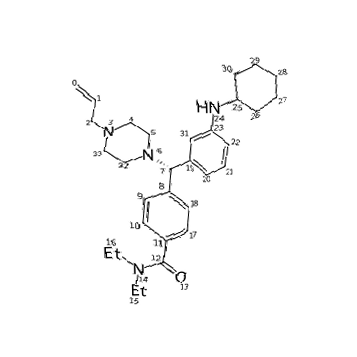 C=CCN1CCN([C@@H](c2ccc(C(=O)N(CC)CC)cc2)c2cccc(NC3CCCCC3)c2)CC1